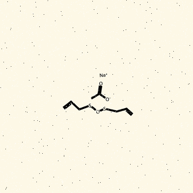 C=CCSOSCC=C.CC(=O)[O-].[Na+]